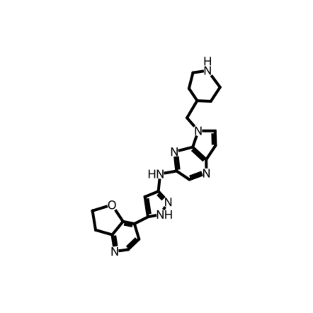 c1cc(-c2cc(Nc3cnc4ccn(CC5CCNCC5)c4n3)n[nH]2)c2c(n1)CCO2